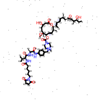 CC[C@H](O)[C@@H](C)[C@H]1O[C@@H]1C[C@H](C)/C=C/C=C(\C)[C@H]1OC(=O)C[C@H](O)CC[C@@](C)(OC)[C@@H](OC(=O)N2CC[N+](C)(Cc3ccc(NC(=O)[C@H](C)NC(=O)[C@@H](NC(=O)CCCCCN4C(=O)C=CC4=O)C(C)C)cc3)CC2)/C=C/[C@@H]1C